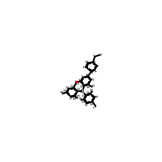 CCc1ccc(-c2cc(C)c(B(c3c(C)cc(C)cc3C)c3c(C)cc(C)cc3C)c(C)c2)cc1